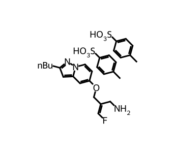 CCCCc1cc2cc(OC/C(=C/F)CN)ccn2n1.Cc1ccc(S(=O)(=O)O)cc1.Cc1ccc(S(=O)(=O)O)cc1